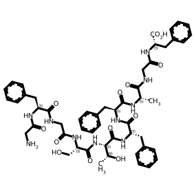 C[C@H](NC(=O)[C@H](Cc1ccccc1)NC(=O)[C@H](Cc1ccccc1)NC(=O)[C@@H](NC(=O)[C@H](CO)NC(=O)CNC(=O)[C@H](Cc1ccccc1)NC(=O)CN)[C@@H](C)O)C(=O)NCC(=O)N[C@@H](Cc1ccccc1)C(=O)O